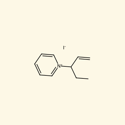 C=CC(CC)[n+]1ccccc1.[I-]